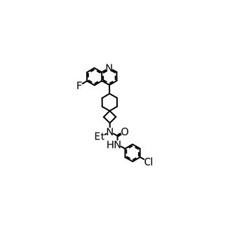 CCN(C(=O)Nc1ccc(Cl)cc1)C1CC2(CCC(c3ccnc4ccc(F)cc34)CC2)C1